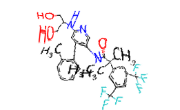 Cc1ccccc1-c1cc(NC(CO)CO)ncc1N(C)C(=O)C(C)(C)c1cc(C(F)(F)F)cc(C(F)(F)F)c1